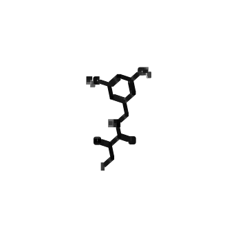 O=C(CI)C(=O)NCc1cc(C(F)(F)F)cc(C(F)(F)F)c1